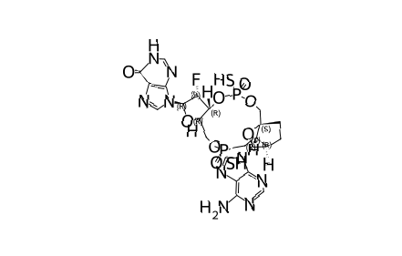 Nc1ncnc2c1ncn2[C@@H]1O[C@@]23CC[C@@H]1[C@@H]2CP(=O)(S)OC[C@H]1O[C@@H](n2cnc4c(=O)[nH]cnc42)[C@H](F)[C@@H]1OP(=O)(S)OC3